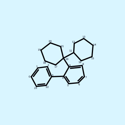 c1ccc(-c2ccccc2C2(C3CCCCC3)CCCCC2)cc1